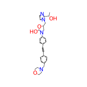 CC(O)c1nccn1CC1CN(c2ccc(C#Cc3ccc(CN4CCOCC4)cc3)cc2)C(O)O1